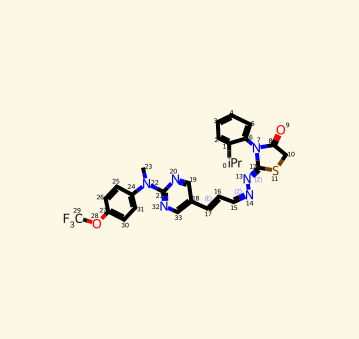 CC(C)c1ccccc1N1C(=O)CS\C1=N/N=C\C=C\c1cnc(N(C)c2ccc(OC(F)(F)F)cc2)nc1